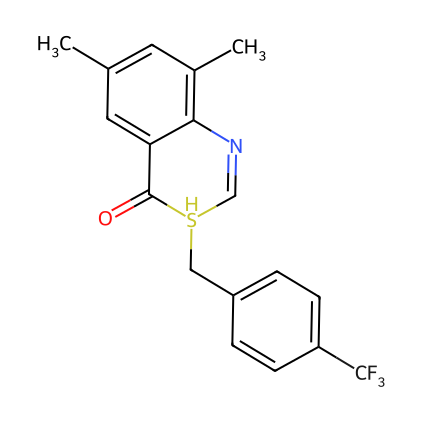 Cc1cc(C)c2c(c1)C(=O)[SH](Cc1ccc(C(F)(F)F)cc1)C=N2